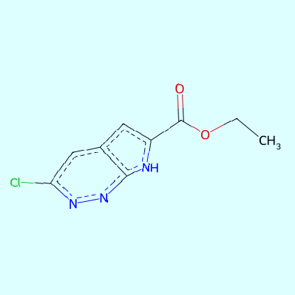 CCOC(=O)c1cc2cc(Cl)nnc2[nH]1